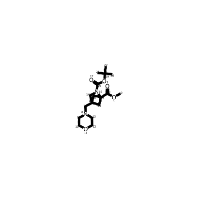 COC(=O)C12CC(CN3CCOCC3)(CN1C(=O)OC(C)(C)C)C2